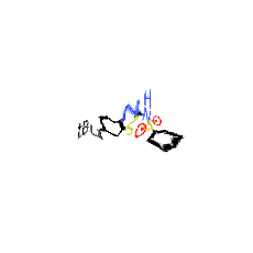 CC(C)(C)C1CCc2nc(NS(=O)(=O)c3ccccc3)sc2C1